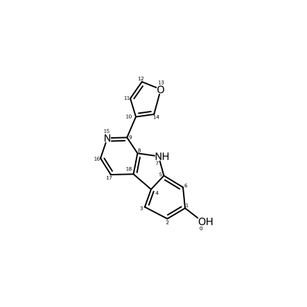 Oc1ccc2c(c1)[nH]c1c(-c3ccoc3)nccc12